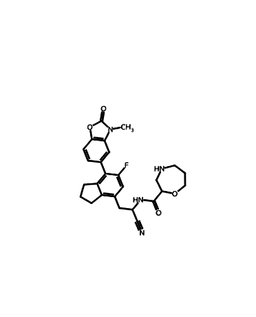 Cn1c(=O)oc2ccc(-c3c(F)cc(CC(C#N)NC(=O)C4CNCCCO4)c4c3CCC4)cc21